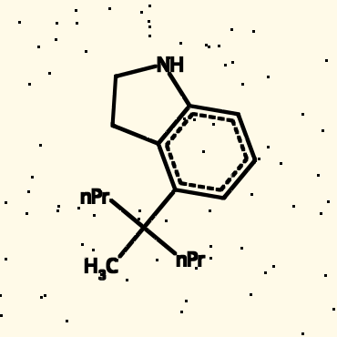 CCCC(C)(CCC)c1cccc2c1CCN2